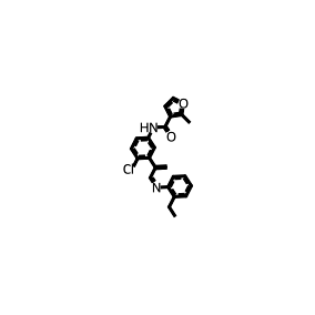 C=C(/C=N\c1ccccc1CC)c1cc(NC(=O)c2ccoc2C)ccc1Cl